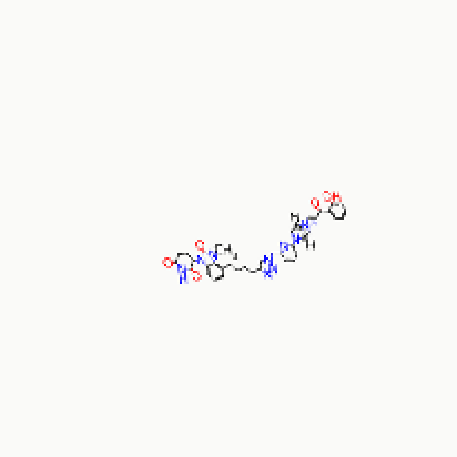 Cn1c(=O)n(C2CCC(=O)NC2=O)c2cccc(CCCCc3cn(Cc4cccc(N5C[C@H]6C[C@@H]5CN6/C=C/C(=O)c5ccccc5O)n4)nn3)c21